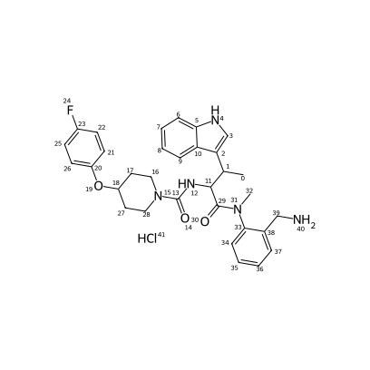 CC(c1c[nH]c2ccccc12)C(NC(=O)N1CCC(Oc2ccc(F)cc2)CC1)C(=O)N(C)c1ccccc1CN.Cl